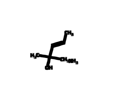 CC=CC(C)(C)O.N